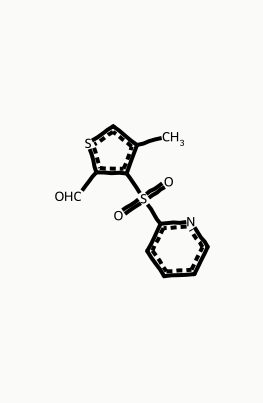 Cc1csc(C=O)c1S(=O)(=O)c1ccccn1